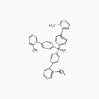 Cc1ccccc1-c1ccc(P(=O)(c2ccc(-c3ccccc3C)cc2)c2ccc(-c3ccccc3C)cc2)cc1